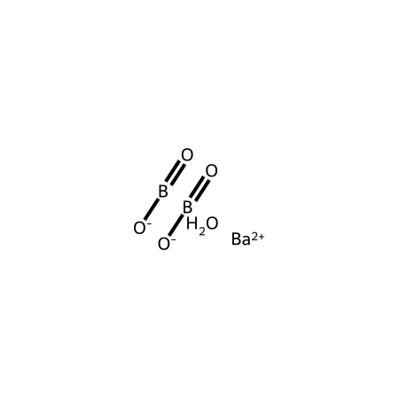 O.O=B[O-].O=B[O-].[Ba+2]